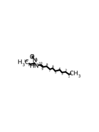 CCCCCCCCCC=CNC(CC)N=O